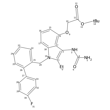 CCc1c(NC(N)=O)c2c(OCC(=O)OC(C)(C)C)cccc2n1Cc1ccccc1-c1ccc(F)cc1